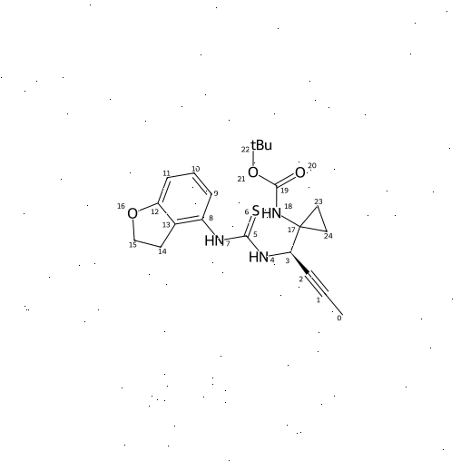 CC#C[C@@H](NC(=S)Nc1cccc2c1CCO2)C1(NC(=O)OC(C)(C)C)CC1